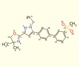 CC(C)Cn1nc(C2=NC(C)(C)CO2)cc1-c1ccc(-c2cccc(S(C)(=O)=O)c2)cc1